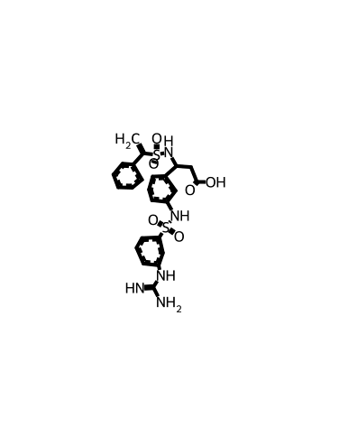 C=C(c1ccccc1)S(=O)(=O)NC(CC(=O)O)c1cccc(NS(=O)(=O)c2cccc(NC(=N)N)c2)c1